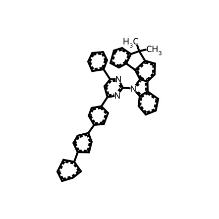 CC1(C)c2ccccc2-c2c1ccc1c3ccccc3n(-c3nc(-c4ccccc4)cc(-c4ccc(-c5ccc(-c6ccccc6)cc5)cc4)n3)c21